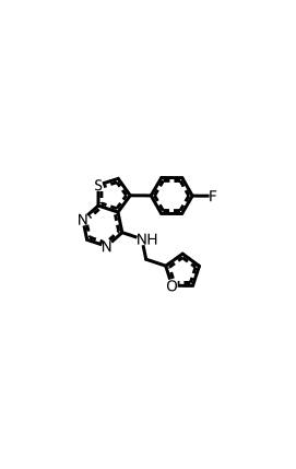 Fc1ccc(-c2csc3ncnc(NCc4ccco4)c23)cc1